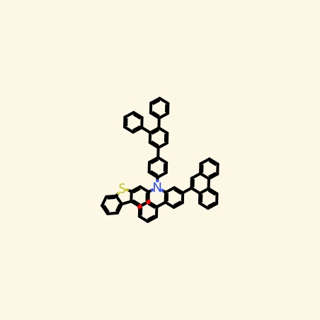 c1ccc(-c2ccc(-c3ccc(N(c4ccc5c(c4)sc4ccccc45)c4cc(-c5cc6ccccc6c6ccccc56)ccc4-c4ccccc4)cc3)cc2-c2ccccc2)cc1